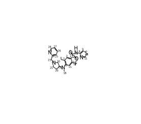 Cc1cc(S(=O)(=O)Nc2cscn2)c(F)cc1N(C)C1CCN(Cc2ccccn2)C1